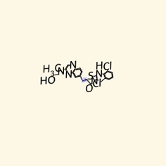 CN(CCO)c1cnc2ccc(/C=C3\SC(Nc4c(Cl)cccc4Cl)=NC3=O)cc2n1